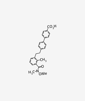 CON(C)C(=O)c1cccc(CCc2ccc(-c3ccc(C(=O)O)cc3)cc2)c1C